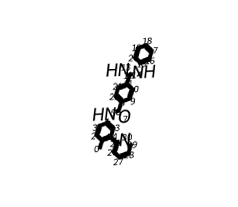 Cc1ccc(NC(=O)c2ccc(C(=N)Nc3ccccc3)cc2)cc1-c1ccccn1